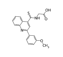 COc1cccc(-c2cc(C(=S)NCC(=O)O)c3ccccc3n2)c1